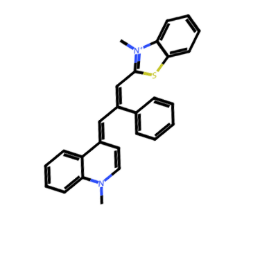 CN1C=C/C(=C\C(=C\c2sc3ccccc3[n+]2C)c2ccccc2)c2ccccc21